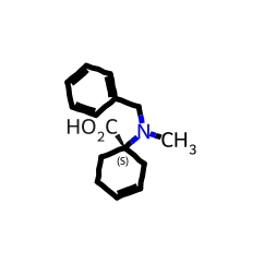 CN(Cc1ccccc1)[C@]1(C(=O)O)CC=CCC1